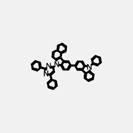 c1ccc(-c2cc(-n3c4ccc(-c5ccc6c(c5)c5ccccc5n6-c5ccccc5)cc4c4c5ccccc5ccc43)nc(-c3ccccc3)n2)cc1